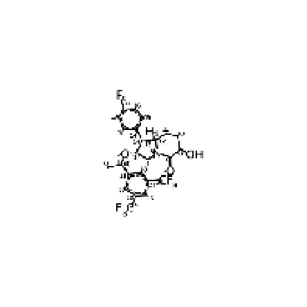 C[C@@H](O[C@H]1CN2C(=O)C(O)CC[C@H]2[C@@H]1c1ccc(F)cc1)c1cc(C(F)(F)F)cc(C(F)(F)F)c1